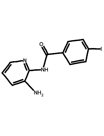 Nc1cccnc1NC(=O)c1ccc(I)cc1